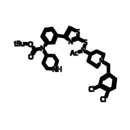 CC(=O)N(Sc1nc(-c2cccc(N(C(=O)OC(C)(C)C)C3CCNCC3)c2)cs1)C1CCN(Cc2ccc(Cl)c(Cl)c2)CC1